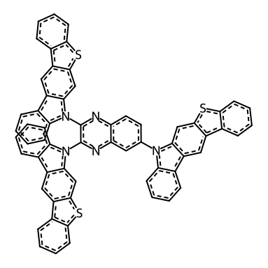 c1ccc2c(c1)sc1cc3c(cc12)c1ccccc1n3-c1ccc2nc(-n3c4ccccc4c4cc5c(cc43)sc3ccccc35)c(-n3c4ccccc4c4cc5c(cc43)sc3ccccc35)nc2c1